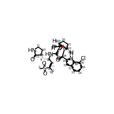 CS(=O)(=O)/C(F)=C\[C@H](C[C@H]1CCNC1=O)NC(=O)[C@@H]1[C@H]2CC[C@H](CC2(F)F)N1C(=O)c1cc2cccc(Cl)c2[nH]1